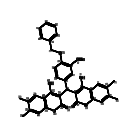 COc1cc(C(c2c(O)c3cc(C)c(C)cc3oc2=O)c2c(O)c3cc(C)c(C)cc3oc2=O)ccc1OCc1ccccc1